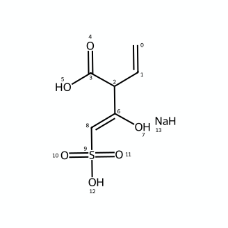 C=CC(C(=O)O)C(O)=CS(=O)(=O)O.[NaH]